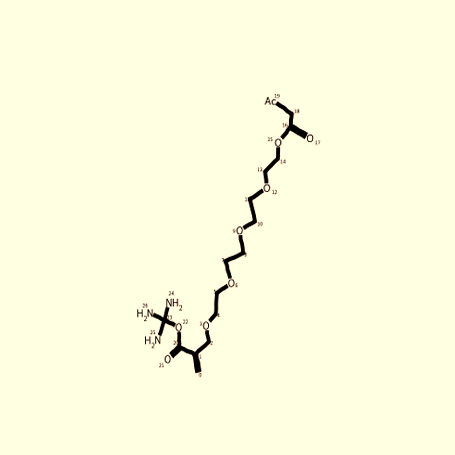 C=C(COCCOCCOCCOCCOC(=O)CC(C)=O)C(=O)OC(N)(N)N